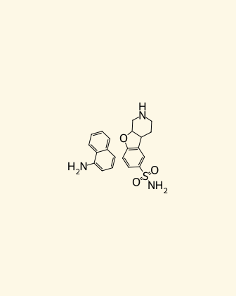 NS(=O)(=O)c1ccc2c(c1)C1CCNCC1O2.Nc1cccc2ccccc12